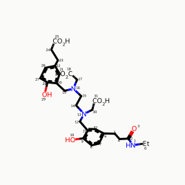 CCNC(=O)CCc1ccc(O)c(CN(CCN(CC(=O)O)Cc2cc(CCC(=O)O)ccc2O)CC(=O)O)c1